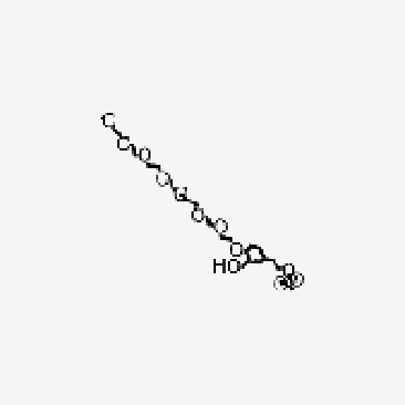 COCCOCCOCCOCCOCCOCCOCCOc1ccc(CCOS(C)(=O)=O)cc1CO